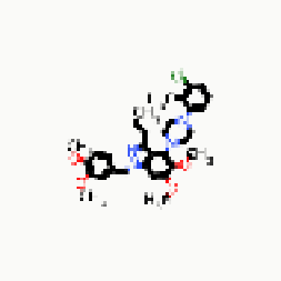 CCCc1nn(Cc2ccc(OC)c(OC)c2)c2cc(OC)c(OC)c(N3CCN(c4cccc(Cl)c4C)CC3)c12